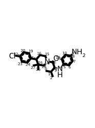 CC(C)[C@@H](Nc1ccc(N)cc1)C(=O)N1CCC(c2ccc(Cl)cc2)C(C)(C)C1